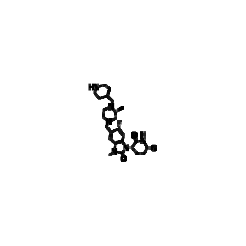 C[C@H]1CN(Cc2cc3c(cc2F)n(C2CCC(=O)NC2=O)c(=O)n3C)CCN1CC1CCNCC1